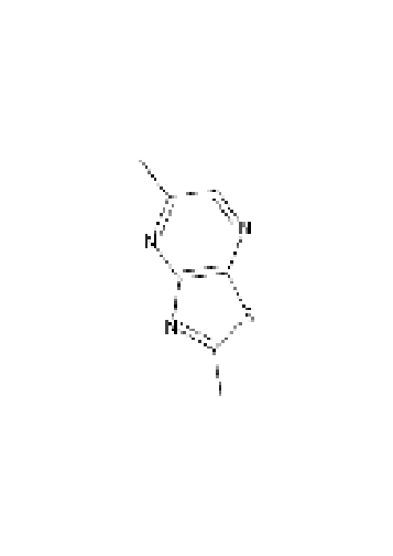 Cc1cnc2sc(C)nc2n1